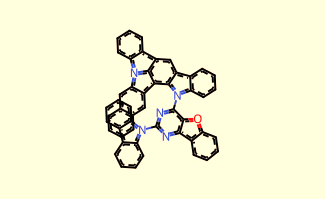 c1ccc2cc3c(cc2c1)c1c2c(cc4c5ccccc5n3c41)c1ccccc1n2-c1nc(-n2c3ccccc3c3ccccc32)nc2c1oc1ccccc12